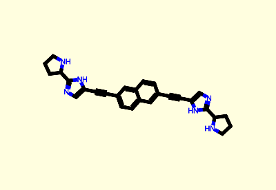 C(#Cc1cnc(C2CCCN2)[nH]1)c1ccc2cc(C#Cc3cnc(C4CCCN4)[nH]3)ccc2c1